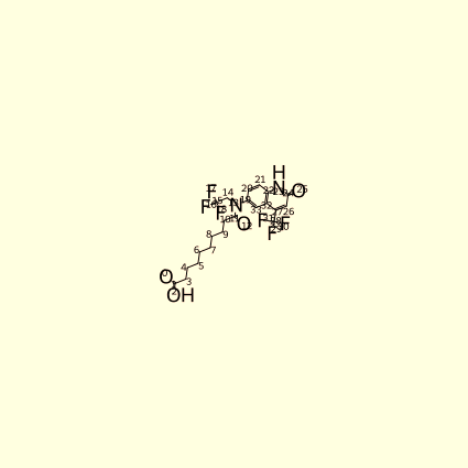 O=C(O)CCCCCCCCC(=O)N(CC(F)(F)F)c1ccc2[nH]c(=O)cc(C(F)(F)F)c2c1